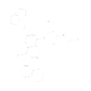 C=CC(=O)N1CCN(c2nc(OCC34CCCN3CCC4)nc3c(F)c(-c4cccc5c4CCCC5)ncc23)C[C@@H]1CC#N